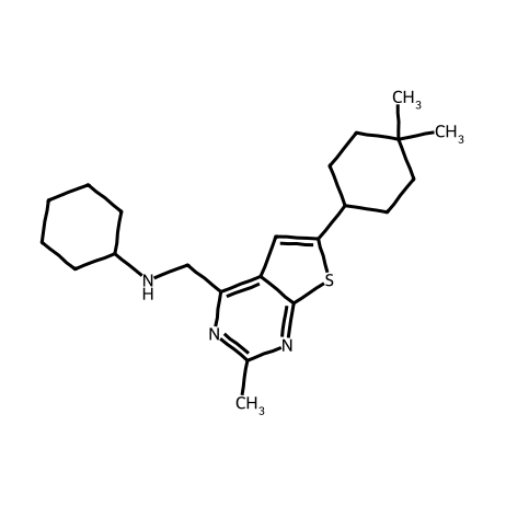 Cc1nc(CNC2CCCCC2)c2cc(C3CCC(C)(C)CC3)sc2n1